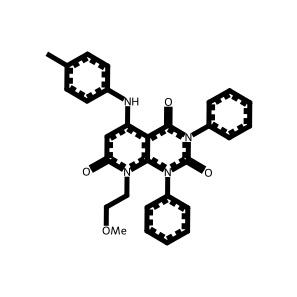 COCCn1c(=O)cc(Nc2ccc(C)cc2)c2c(=O)n(-c3ccccc3)c(=O)n(-c3ccccc3)c21